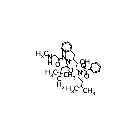 CNCC(=O)NN(C(=O)CC(C)(C)C)[C@@H](Cc1ccccc1)[C@H](O)CN(CCC(C)C)S(=O)(=O)c1ccccc1